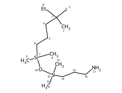 CCC(C)(I)CCC[Si](C)(C)O[Si](C)(C)CCCN